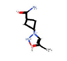 CC1=CN(C2[CH]C(C(N)=O)C2)NO1